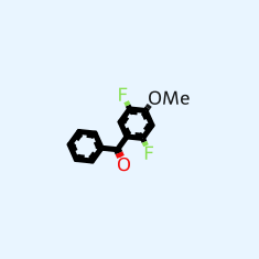 COc1cc(F)c(C(=O)c2ccccc2)cc1F